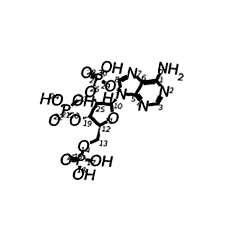 Nc1ncnc2c1ncn2[C@H]1O[C@@H](COP(=O)(O)O)[C@H](OP(=O)(O)O)[C@@H]1OP(=O)(O)O